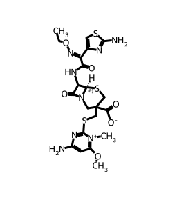 CCON=C(C(=O)NC1C(=O)N2CC(CSc3nc(N)cc(OC)[n+]3C)(C(=O)[O-])CS[C@H]12)c1csc(N)n1